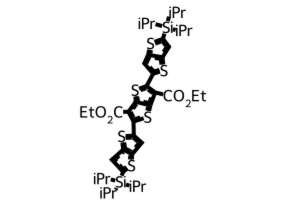 CCOC(=O)c1c(-c2cc3sc([Si](C(C)C)(C(C)C)C(C)C)cc3s2)sc2c(C(=O)OCC)c(-c3cc4sc([Si](C(C)C)(C(C)C)C(C)C)cc4s3)sc12